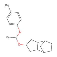 CCC(C)c1ccc(OC(OC2CC3C4CCC(C4)C3C2)C(C)C)cc1